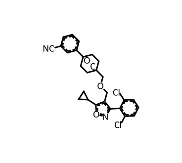 N#Cc1cccc(C23CCC(COCc4c(-c5c(Cl)cccc5Cl)noc4C4CC4)(CC2)CO3)c1